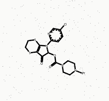 CC(C)N1CCN(C(=O)OC2C(=O)C3=C(SCCS3)N2c2ccc(Cl)cn2)CC1